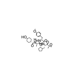 COc1ccc(C[C@H](NC(=O)[C@@H](C)NC(=O)[C@H]2CC[C@H](O)CC2)C(=O)N[C@@H](CC2CCCC2)C(=O)[C@@]2(C)CO2)cc1